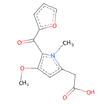 COc1cc(CC(=O)O)n(C)c1C(=O)c1ccco1